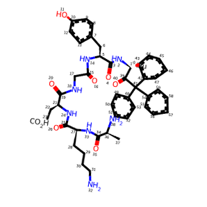 CC[C@H](C)[C@H](NC(=O)[C@H](Cc1ccc(O)cc1)NC(=O)CNC(=O)[C@H](CC(=O)O)NC(=O)[C@H](CCCCN)NC(=O)[C@H](C)N)C(=O)C(c1ccccc1)(c1ccccc1)c1ccccc1